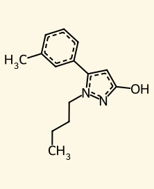 CCCCn1nc(O)cc1-c1cccc(C)c1